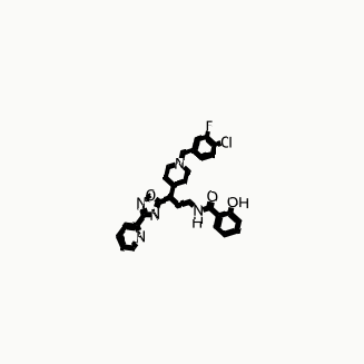 O=C(NCCC(c1nc(-c2ccccn2)no1)C1CCN(Cc2ccc(Cl)c(F)c2)CC1)c1ccccc1O